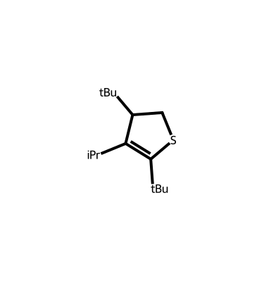 CC(C)C1=C(C(C)(C)C)SCC1C(C)(C)C